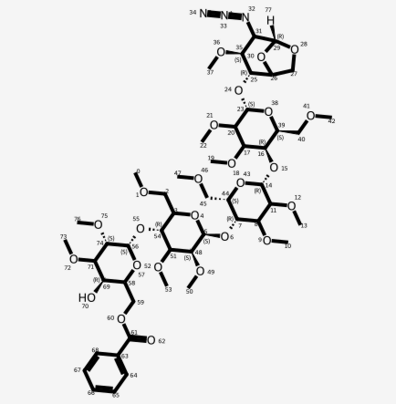 COCC1O[C@@H](O[C@H]2C(OC)C(OC)[C@@H](O[C@H]3C(OC)C(OC)[C@H](O[C@H]4C5CO[C@H](O5)C(N=[N+]=[N-])[C@@H]4OC)O[C@H]3COC)O[C@H]2COC)[C@@H](OC)C(OC)[C@@H]1O[C@@H]1OC(COC(=O)c2ccccc2)[C@@H](O)C(OC)[C@@H]1OC